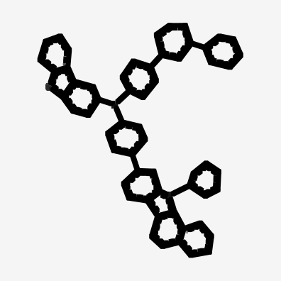 c1ccc(-c2cccc(-c3ccc(N(c4ccc(-c5ccc6c7ccc8ccccc8c7n(-c7ccccc7)c6c5)cc4)c4ccc5oc6ccccc6c5c4)cc3)c2)cc1